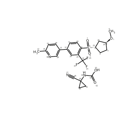 CO[C@H]1CC[C@H](S(=O)(=O)c2ccc(-c3ccc(C)nc3)cc2C(F)(F)F)C1.N#CC1(NC(=O)O)CC1